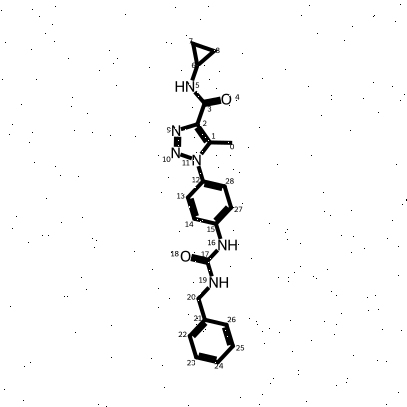 Cc1c(C(=O)NC2CC2)nnn1-c1ccc(NC(=O)NCc2ccccc2)cc1